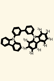 [2H]c1c([2H])c([2H])c2c(c1[2H])c1c([2H])c([2H])c([2H])c([2H])c1n2-c1cccc(-c2cccc(-n3c4ccccc4c4ccccc43)c2)c1